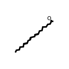 CCCCC/C=C/C/C=C/C/C=C/CCCCCCC(C)=O